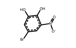 O=[N+]([O-])c1cc(Br)cc(O)c1O